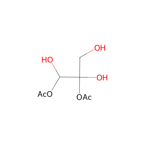 CC(=O)OC(O)C(O)(CO)OC(C)=O